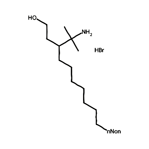 Br.CCCCCCCCCCCCCCCCC(CCO)C(C)(C)N